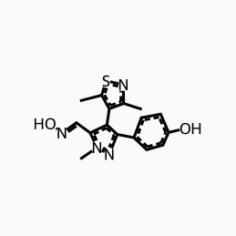 Cc1nsc(C)c1-c1c(-c2ccc(O)cc2)nn(C)c1/C=N/O